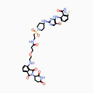 NC(=O)c1c(F)cccc1Nc1nc(NC2CCN(S(=O)(=O)CCNC(=O)CCOCCNc3cccc4c3C(=O)N(C3CCC(=O)NC3=O)C4=O)CC2)ncc1Br